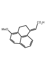 COc1ccc2cccc3c2c1CCC3=CC(=O)O